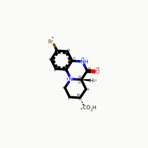 O=C(O)[C@@H]1CCN2c3ccc(Br)cc3NC(=O)[C@@H]2C1